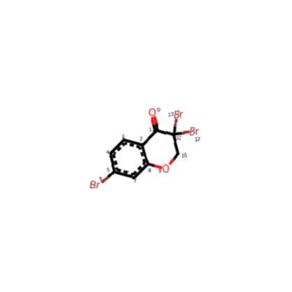 O=C1c2ccc(Br)cc2OCC1(Br)Br